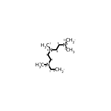 [CH2]CN(C)CCN(C)CCN([CH2])C